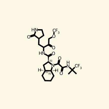 CC(C)(NC(=O)C(=O)N1[C@H](C(=O)NC(CC2CCNC2=O)C(=O)COC(F)(F)F)C[C@@H]2CCCC[C@@H]21)C(F)(F)F